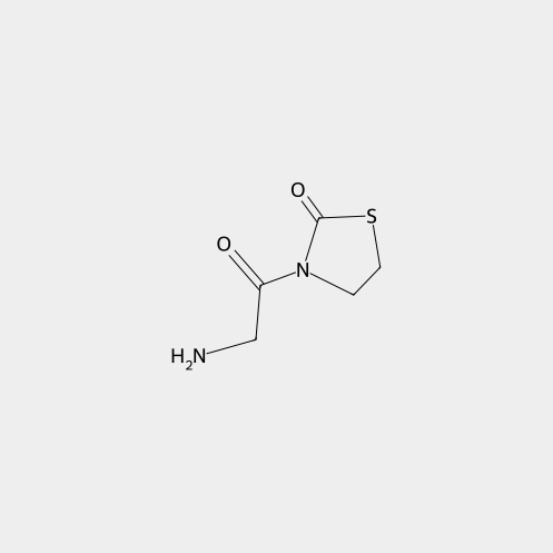 NCC(=O)N1CCSC1=O